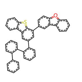 c1ccc(-c2ccccc2-c2ccccc2-c2cc(-c3ccc4oc5ccccc5c4c3)c3sc4ccccc4c3c2)cc1